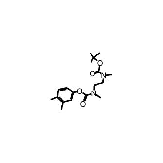 Cc1ccc(OC(=O)N(C)CCN(C)C(=O)OC(C)(C)C)cc1C